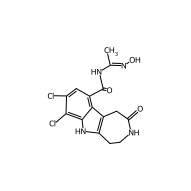 CC(=NO)NC(=O)c1cc(Cl)c(Cl)c2[nH]c3c(c12)CC(=O)NCC3